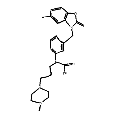 Cc1ccc2oc(=O)n(Cc3cccc(N(CCCN4CCN(C)CC4)C(=O)O)c3)c2c1